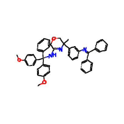 COc1ccc(C(NC2=NC(C)(c3cccc(N=C(c4ccccc4)c4ccccc4)c3)COC2)(c2ccccc2)c2ccc(OC)cc2)cc1